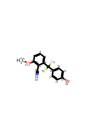 COc1cccc(C(F)(F)c2ccc(Br)cc2)c1C#N